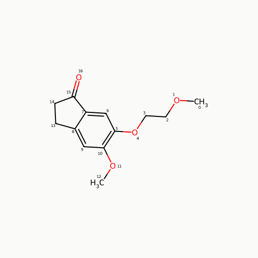 COCCOc1cc2c(cc1OC)CCC2=O